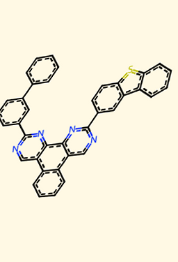 c1ccc(-c2cccc(-c3ncc4c5ccccc5c5cnc(-c6ccc7sc8ccccc8c7c6)nc5c4n3)c2)cc1